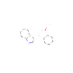 CCCCCCCCn1c(C)c(C2OC(=O)c3ccccc32)c2ccccc21